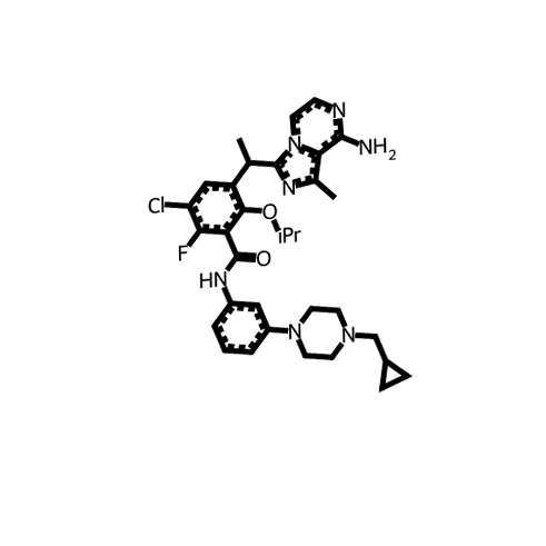 Cc1nc(C(C)c2cc(Cl)c(F)c(C(=O)Nc3cccc(N4CCN(CC5CC5)CC4)c3)c2OC(C)C)n2ccnc(N)c12